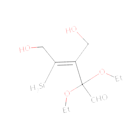 CCOC(C=O)(OCC)C(CO)=C([SiH3])CO